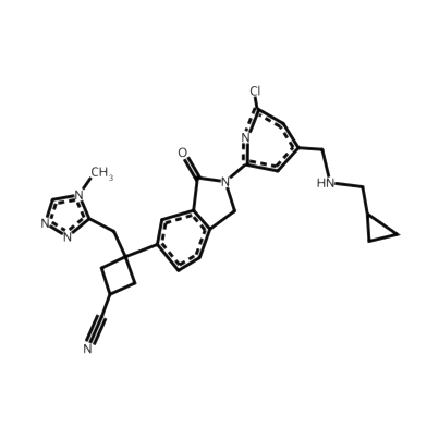 Cn1cnnc1CC1(c2ccc3c(c2)C(=O)N(c2cc(CNCC4CC4)cc(Cl)n2)C3)CC(C#N)C1